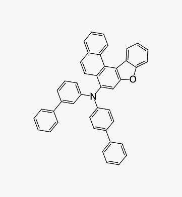 c1ccc(-c2ccc(N(c3cccc(-c4ccccc4)c3)c3cc4oc5ccccc5c4c4c3ccc3ccccc34)cc2)cc1